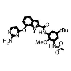 COc1c(NC(=O)c2cc3cccc(Oc4ccnc(N)n4)c3n2C)cc(C(C)(C)C)cc1NS(C)(=O)=O